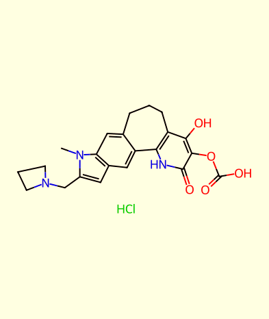 Cl.Cn1c(CN2CCC2)cc2cc3c(cc21)CCCc1c-3[nH]c(=O)c(OC(=O)O)c1O